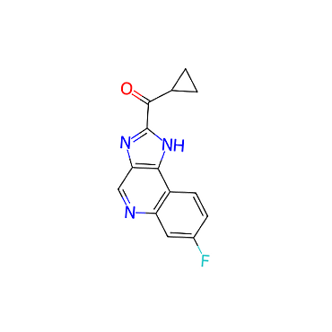 O=C(c1nc2cnc3cc(F)ccc3c2[nH]1)C1CC1